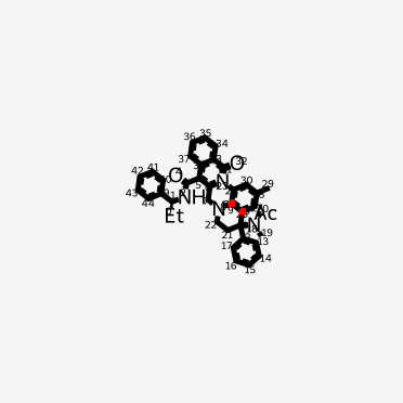 CC[C@H](NC(=O)c1c(CN2CCC(c3ccccc3)(N(C)C(C)=O)CC2)n(-c2cccc(C)c2)c(=O)c2ccccc12)c1ccccc1